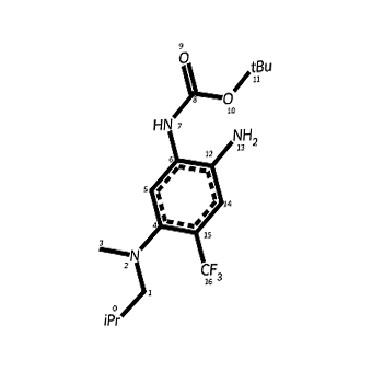 CC(C)CN(C)c1cc(NC(=O)OC(C)(C)C)c(N)cc1C(F)(F)F